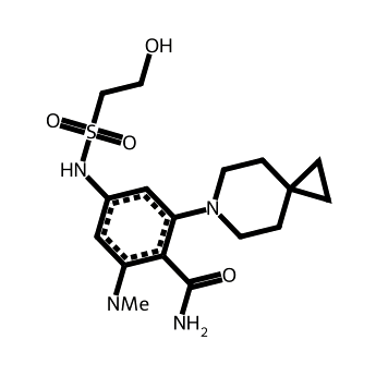 CNc1cc(NS(=O)(=O)CCO)cc(N2CCC3(CC2)CC3)c1C(N)=O